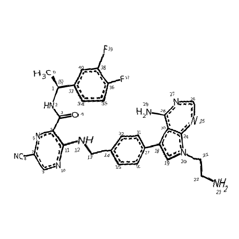 C[C@H](NC(=O)c1nc(C#N)cnc1NCc1ccc(-c2cn(CCN)c3ncnc(N)c23)cc1)c1ccc(F)c(F)c1